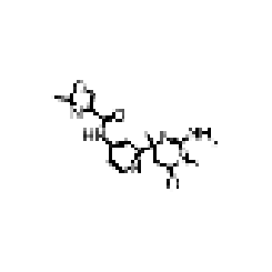 Cc1nc(C(=O)Nc2ccnc(C3(C)CC(=O)N(C)C(N)=N3)c2)co1